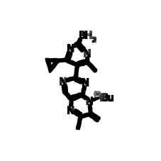 Bc1nc(C)c(-c2ncc3c(n2)N([C@H](C)CC)C(=C)C(C)=N3)c(C2CC2)n1